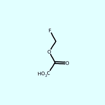 O=C(O)C(=O)OCF